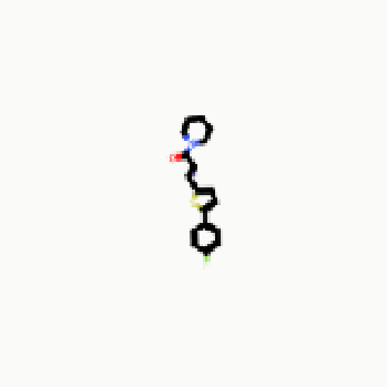 O=C(/C=C/c1ccc(-c2ccc(F)cc2)s1)N1CCCCC1